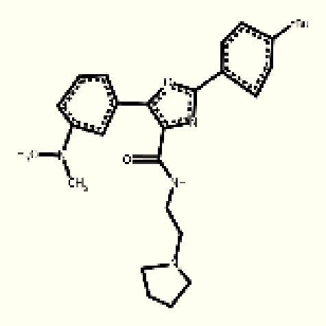 CN(C)c1cccc(-c2oc(-c3ccc(C(C)(C)C)cc3)nc2C(=O)NCCN2CCCC2)c1